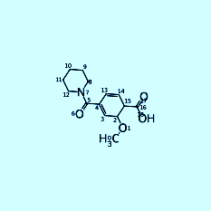 COC1C=C(C(=O)N2CCCCC2)C=CC1C(=O)O